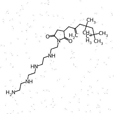 C=C(CC1CC(=O)N(CCNCCNCCNCCN)C1=O)CC(C)(C)CC(C)(C)C